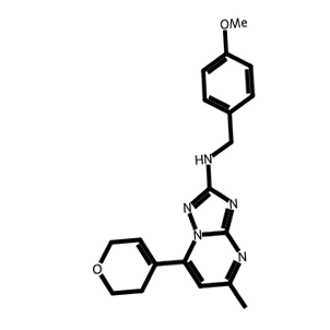 COc1ccc(CNc2nc3nc(C)cc(C4=CCOCC4)n3n2)cc1